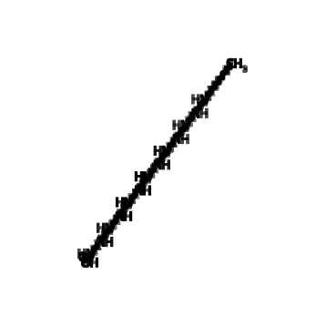 CCCCCCCCCCCCCCNCCCCNCCCCNCCCCNCCCCNCCCCNCCCCNCCCCNCCCCNCCCCNCCCCNCCCCNCCCCNCC(=O)O